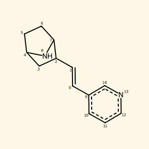 C(=CC1CC2CCC1N2)c1cccnc1